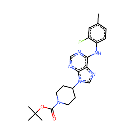 Cc1ccc(Nc2ncnc3c2ncn3C2CCN(C(=O)OC(C)(C)C)CC2)c(F)c1